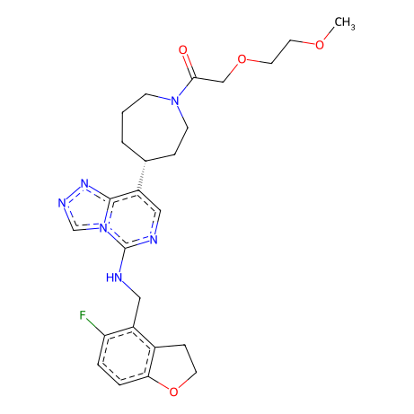 COCCOCC(=O)N1CCC[C@@H](c2cnc(NCc3c(F)ccc4c3CCO4)n3cnnc23)CC1